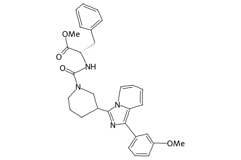 COC(=O)[C@H](Cc1ccccc1)NC(=O)N1CCCC(c2nc(-c3cccc(OC)c3)c3ccccn23)C1